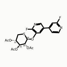 CC(=O)O[C@@H]1[C@@H](OC(C)=O)[C@H](OC(C)=O)CS[C@H]1Oc1cc(-c2ccnc(F)c2)cnc1F